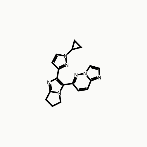 c1cn2nc(-c3c(-c4ccn(C5CC5)n4)nc4n3CCC4)ccc2n1